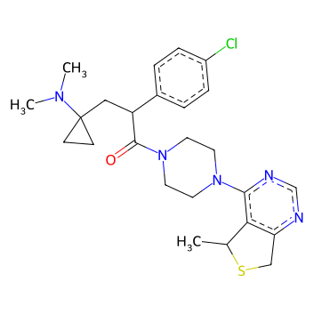 CC1SCc2ncnc(N3CCN(C(=O)C(CC4(N(C)C)CC4)c4ccc(Cl)cc4)CC3)c21